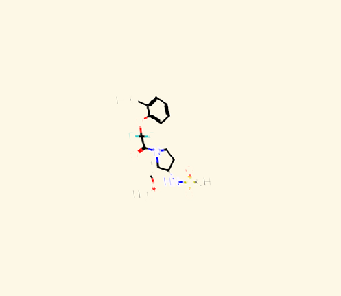 COC[C@H]1[C@@H](NS(C)(=O)=O)CCN1C(=O)C(F)(F)Oc1ccccc1C